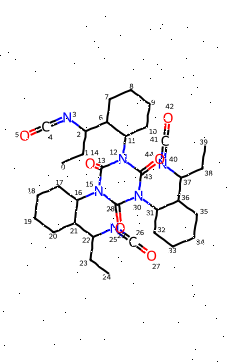 CCC(N=C=O)C1CCCCC1n1c(=O)n(C2CCCCC2C(CC)N=C=O)c(=O)n(C2CCCCC2C(CC)N=C=O)c1=O